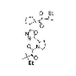 CCC(C)(C)C(=O)C(=O)N1CCCC1c1nnc(C2CCCN2C(=O)C(=O)C(C)(C)CC)o1